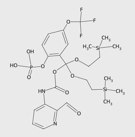 C[Si](C)(C)CCOC(OCC[Si](C)(C)C)(OC(=O)Nc1cccnc1C=O)c1cc(OC(F)(F)F)ccc1OP(=O)(O)O